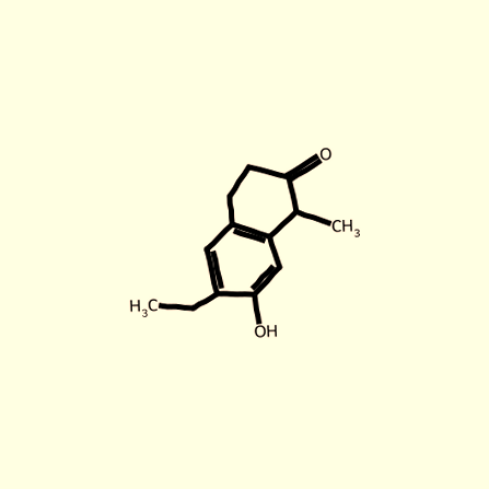 CCc1cc2c(cc1O)C(C)C(=O)CC2